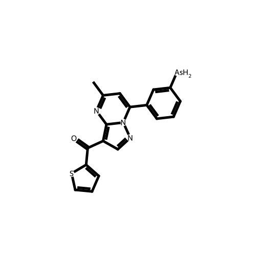 Cc1cc(-c2cccc([AsH2])c2)n2ncc(C(=O)c3cccs3)c2n1